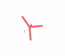 CCCCCCCCCCCCCCCCCC[N+](CCCC)(CCCCCCCCCCCCCCCCCC)CCCCCCCCCCCCCCCCCC.[I-]